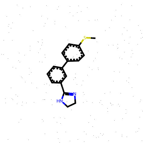 CSc1ccc(-c2cccc(C3=NCCN3)c2)cc1